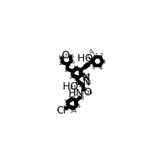 C[C@@H]1CCCC[C@]1(O)C#Cc1cc(CC2CCOCC2)cc2c(O)c(C(=O)NCc3ccc(Cl)cc3)nnc12